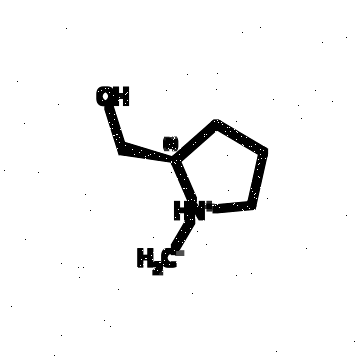 [CH2-][NH+]1CCC[C@@H]1CO